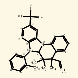 C=CC1(C)c2ccccc2N2c3cc(C(F)(F)F)cnc3N(c3ccccc3C)C2C1(C)C